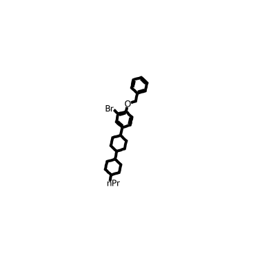 CCCC1CCC(C2CCC(c3ccc(OCc4ccccc4)c(Br)c3)CC2)CC1